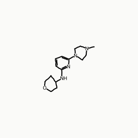 CN1CCN(c2cccc(NC3CCOCC3)n2)CC1